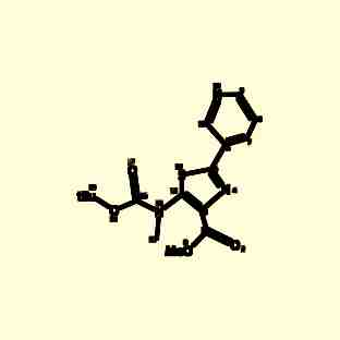 COC(=O)c1nc(-c2cccnc2)sc1N(C)C(=O)OC(C)(C)C